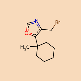 CC1(c2ocnc2CBr)CCCCC1